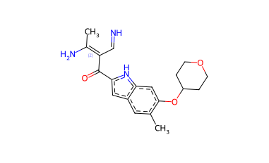 C/C(N)=C(\C=N)C(=O)c1cc2cc(C)c(OC3CCOCC3)cc2[nH]1